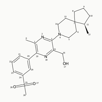 Cc1nc(N2CCC3(CCC[C@H]3C)CC2)c(CO)nc1-c1cccc(S(C)(=O)=O)c1